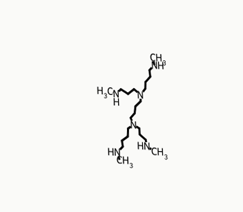 CNCCCCN(CCCCN(CCCCNC)CCCNC)CCCNC